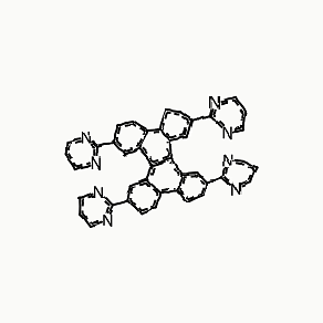 c1cnc(-c2ccc3c4ccc(-c5ncccn5)cc4c4c5cc(-c6ncccn6)ccc5c5ccc(-c6ncccn6)cc5c4c3c2)nc1